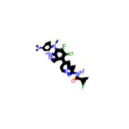 CN(C)C1CCC(N(C)c2c(F)c(Cl)c(-c3ccn4nc(NC(=O)C5CC5F)cc4c3)c3cn[nH]c23)CC1